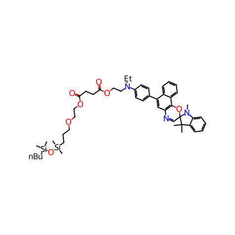 CCCC[Si](C)(C)O[Si](C)(C)CCCOCCOC(=O)CCC(=O)OCCN(CC)c1ccc(-c2cc3c(c4ccccc24)OC2(C=N3)N(C)c3ccccc3C2(C)C)cc1